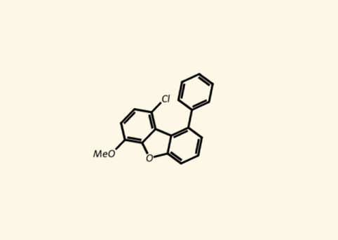 COc1ccc(Cl)c2c1oc1cccc(-c3ccccc3)c12